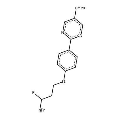 CCCCCCc1cnc(-c2ccc(OCCC(F)CCC)cc2)nc1